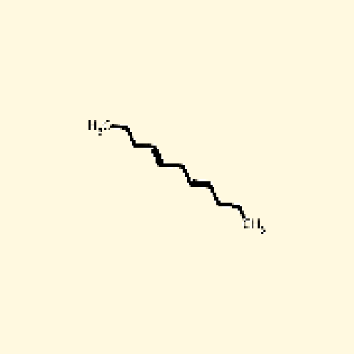 CCCC=CCC=CCCC